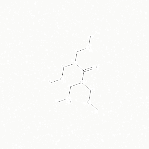 COCN(COC)C(=O)N(COC)COC